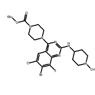 CN1CCC(Nc2nc(N3CCN(C(=O)OC(C)(C)C)CC3)c3cc(Cl)c(Br)c(F)c3n2)CC1